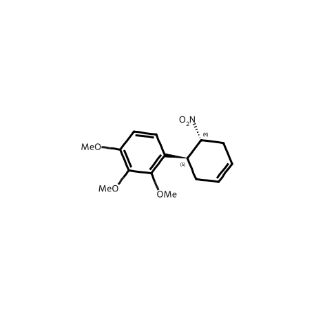 COc1ccc([C@@H]2CC=CC[C@H]2[N+](=O)[O-])c(OC)c1OC